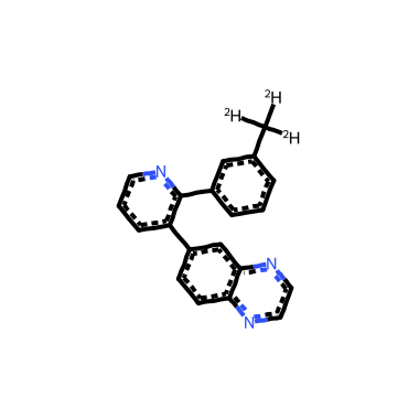 [2H]C([2H])([2H])c1cccc(-c2ncccc2-c2ccc3nccnc3c2)c1